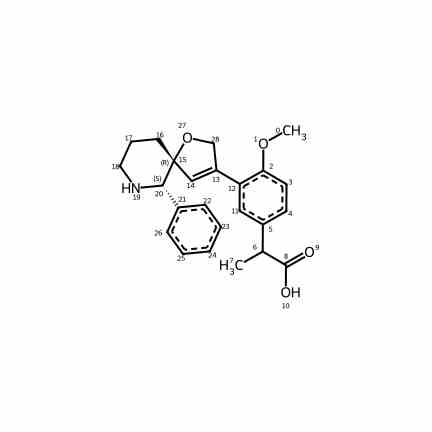 COc1ccc(C(C)C(=O)O)cc1C1=C[C@@]2(CCCN[C@H]2c2ccccc2)OC1